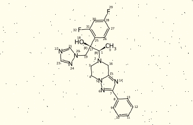 C[C@@H](N1CCn2nc(-c3ccccc3)nc2C1)[C@](O)(Cn1cncn1)c1ccc(F)cc1F